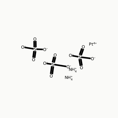 O=S(=O)([O-])[O-].O=S(=O)([O-])[O-].O=S(=O)([O-])[O-].[NH4+].[NH4+].[Pt+4]